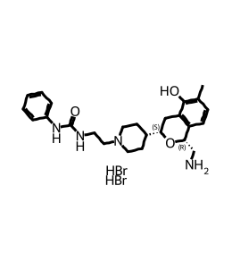 Br.Br.Cc1ccc2c(c1O)C[C@@H](C1CCN(CCNC(=O)Nc3ccccc3)CC1)O[C@H]2CN